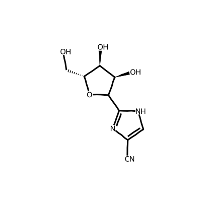 N#Cc1c[nH]c(C2O[C@H](CO)[C@@H](O)[C@H]2O)n1